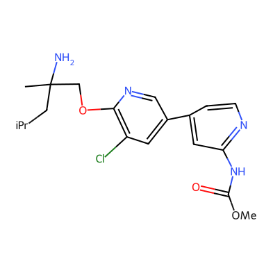 COC(=O)Nc1cc(-c2cnc(OCC(C)(N)CC(C)C)c(Cl)c2)ccn1